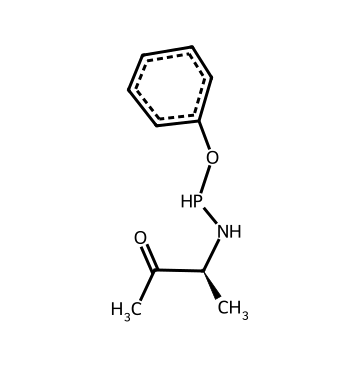 CC(=O)[C@H](C)NPOc1ccccc1